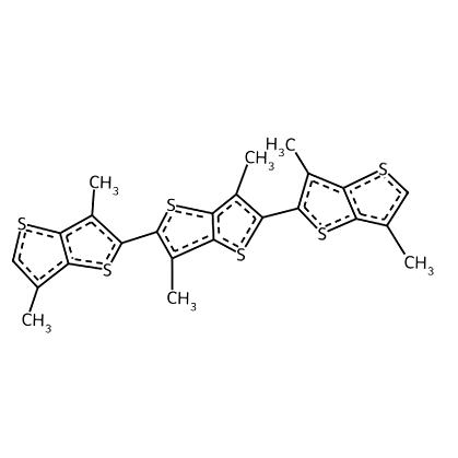 Cc1csc2c(C)c(-c3sc4c(C)c(-c5sc6c(C)csc6c5C)sc4c3C)sc12